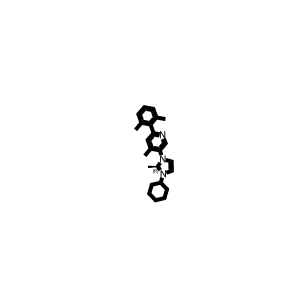 Cc1cc(-c2c(C)cccc2C)ncc1N1C=CN(C2CCCCC2)[C@H]1C